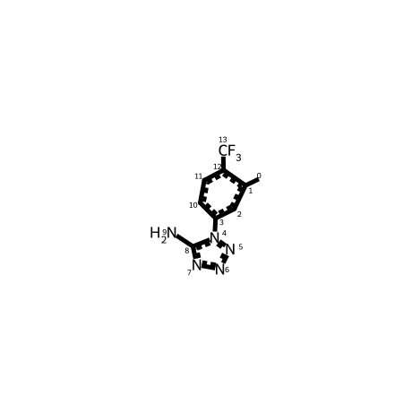 Cc1cc(-n2nnnc2N)ccc1C(F)(F)F